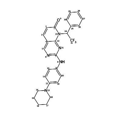 O=c1ccc2cnc(Nc3ccc(N4CCCCC4)cc3)nc2n1C(c1ccccc1)C(F)(F)F